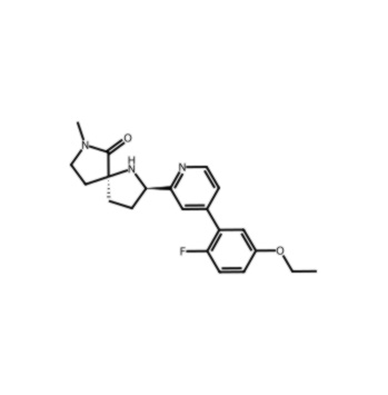 CCOc1ccc(F)c(-c2ccnc([C@H]3CC[C@@]4(CCN(C)C4=O)N3)c2)c1